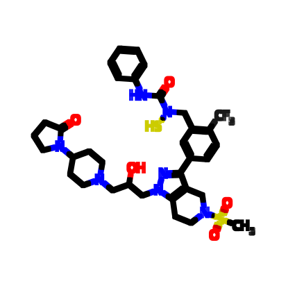 CS(=O)(=O)N1CCc2c(c(-c3ccc(C(F)(F)F)c(CN(S)C(=O)Nc4ccccc4)c3)nn2CC(O)CN2CCC(N3CCCC3=O)CC2)C1